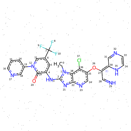 Cn1c(Nc2cc(C(F)(F)F)cn(-c3cccnc3)c2=O)nc2ncc(O/C(C=N)=C3\C=NC=CN3)c(Cl)c21